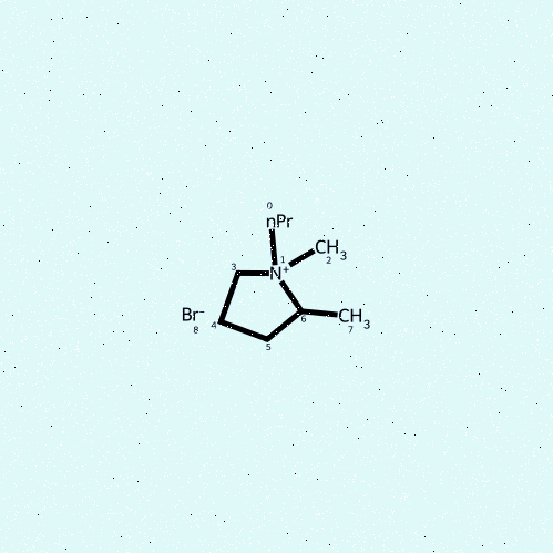 CCC[N+]1(C)CCCC1C.[Br-]